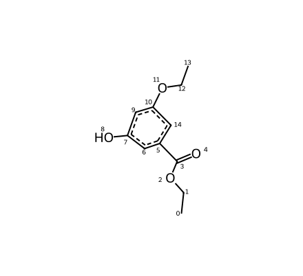 CCOC(=O)c1cc(O)cc(OCC)c1